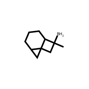 BC1(C)CC23CC2CCCC13